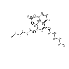 CCCCCCOc1cc(OCCCCCC)c2ccccc2c1OC(C)=O